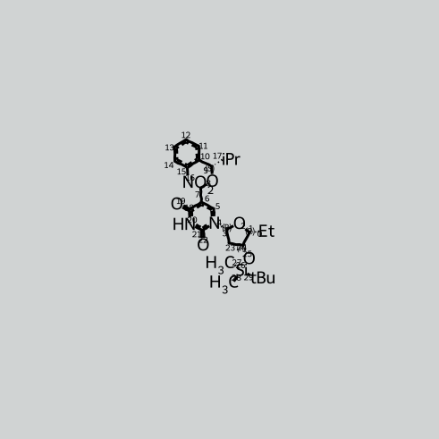 CC[C@H]1O[C@@H](n2cc(CO[C@H](c3ccccc3[N+](=O)[O-])C(C)C)c(=O)[nH]c2=O)C[C@H]1O[Si](C)(C)C(C)(C)C